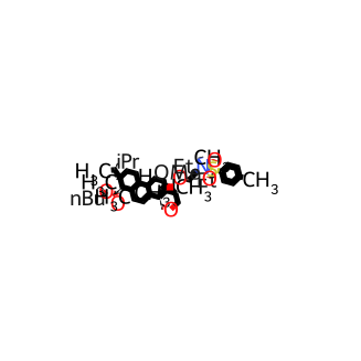 CCCCOC(=O)[C@@H]1[C@@](C)([C@H](C)C(C)C)CC[C@]2(C)[C@H]3CC[C@@H]4[C@@]5(COC[C@]4(C)[C@@H](OCC(CC)(CC)N(C)S(=O)(=O)c4ccc(C)cc4)[C@H](OC)C5)C3=CC[C@@]12C